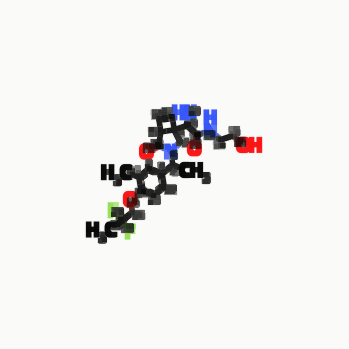 Cc1cc(C(C)N2CC3(C(=N)C(=O)NCCO)C=CC3C2=O)ccc1OCC(C)(F)F